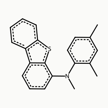 Cc1ccc(N(C)c2cccc3c2sc2ccccc23)c(C)c1